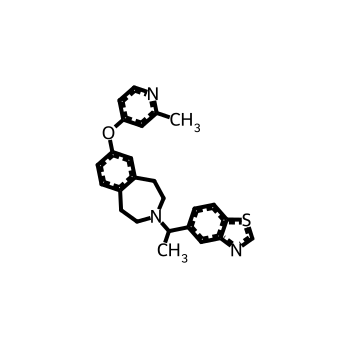 Cc1cc(Oc2ccc3c(c2)CCN(C(C)c2ccc4scnc4c2)CC3)ccn1